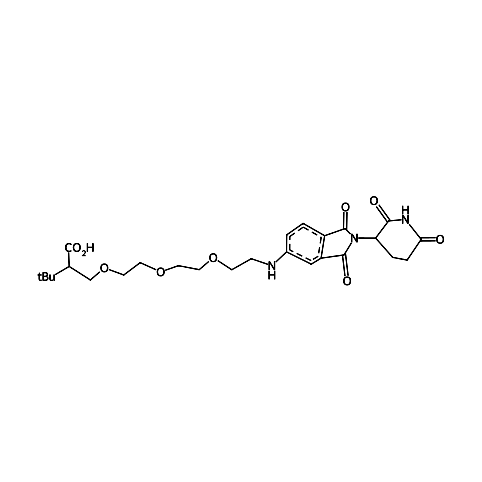 CC(C)(C)C(COCCOCCOCCNc1ccc2c(c1)C(=O)N(C1CCC(=O)NC1=O)C2=O)C(=O)O